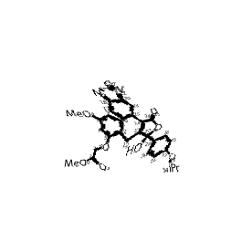 COC(=O)COc1cc(OC)ccc1CC1=C(c2ccc3nsnc3c2)C(=O)OC1(O)c1ccc(OC(C)C)cc1